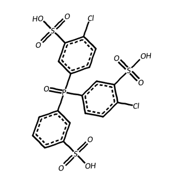 O=P(c1cccc(S(=O)(=O)O)c1)(c1ccc(Cl)c(S(=O)(=O)O)c1)c1ccc(Cl)c(S(=O)(=O)O)c1